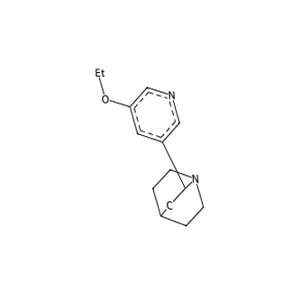 CCOc1cncc(C2CC3CCN2CC3)c1